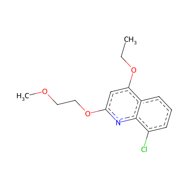 CCOc1cc(OCCOC)nc2c(Cl)cccc12